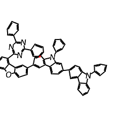 c1ccc(-c2nc(-c3ccccc3)nc(-c3cccc4oc5ccc(-c6ccc7c(c6)c6ccc(-c8ccc9c(c8)c8ccccc8n9-c8ccccc8)cc6n7-c6ccccc6)cc5c34)n2)cc1